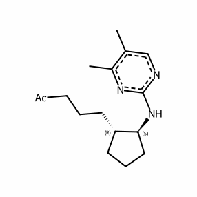 CC(=O)CCC[C@H]1CCC[C@@H]1Nc1ncc(C)c(C)n1